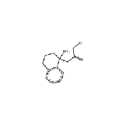 C=C(CCl)CC1(N)[C]CCc2ccccc21